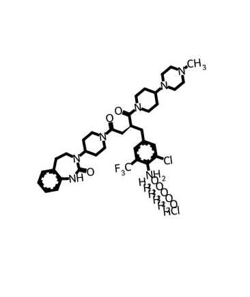 CN1CCN(C2CCN(C(=O)[C@H](CC(=O)N3CCC(N4CCc5ccccc5NC4=O)CC3)Cc3cc(Cl)c(N)c(C(F)(F)F)c3)CC2)CC1.Cl.O.O.O.O.O